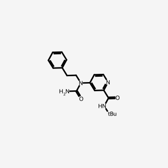 CC(C)(C)NC(=O)c1cc(N(CCc2ccccc2)C(N)=O)ccn1